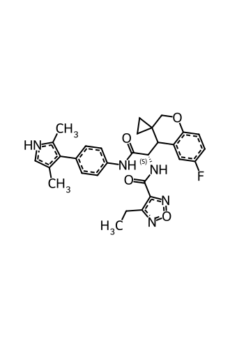 CCc1nonc1C(=O)N[C@H](C(=O)Nc1ccc(-c2c(C)c[nH]c2C)cc1)C1c2cc(F)ccc2OCC12CC2